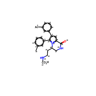 CC(=O)c1cccc(-c2cc3n(c2-c2cccc(C)c2)C(CCNC(=O)O)CNC3=O)c1